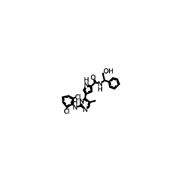 Cc1cnc(Nc2c(Cl)cccc2Cl)nc1-c1c[nH]c(C(=O)NC(CO)c2ccccc2)c1